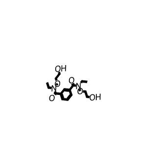 CCN(OCCO)C(=O)c1cccc(C(=O)N(CC)OCCO)c1